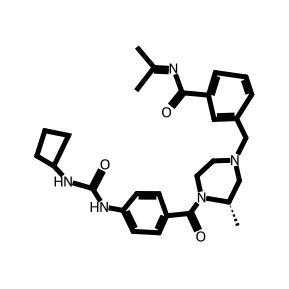 CC(C)=NC(=O)c1cccc(CN2CCN(C(=O)c3ccc(NC(=O)NC4CCC4)cc3)[C@@H](C)C2)c1